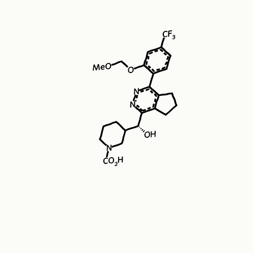 COCOc1cc(C(F)(F)F)ccc1-c1nnc([C@H](O)C2CCCN(C(=O)O)C2)c2c1CCC2